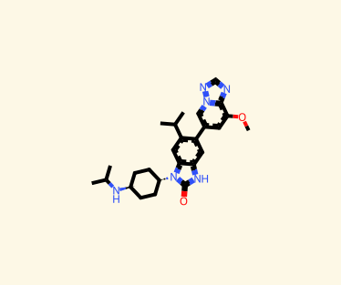 COc1cc(-c2cc3[nH]c(=O)n([C@H]4CC[C@H](NC(C)C)CC4)c3cc2C(C)C)cn2ncnc12